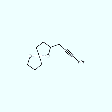 CCCC#CCC1CCC2(CCCO2)O1